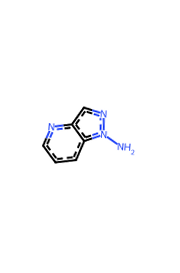 Nn1ncc2ncccc21